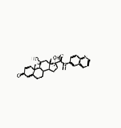 CC12C=CC(=O)C=C1CCC1C2[C@@H](O)CC2(C)C1CC[C@]2(O)C(=O)Nc1ccc2ncccc2c1